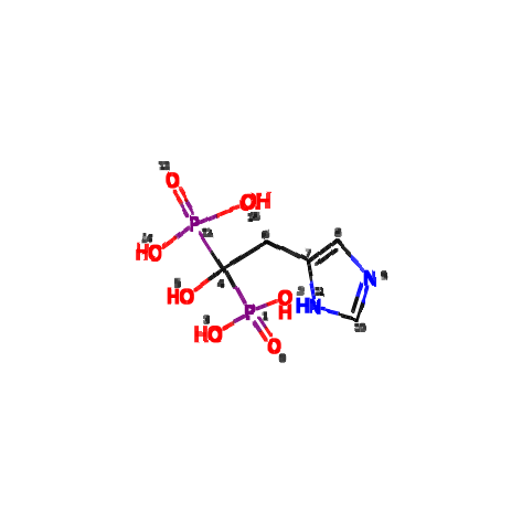 O=P(O)(O)C(O)(Cc1cnc[nH]1)P(=O)(O)O